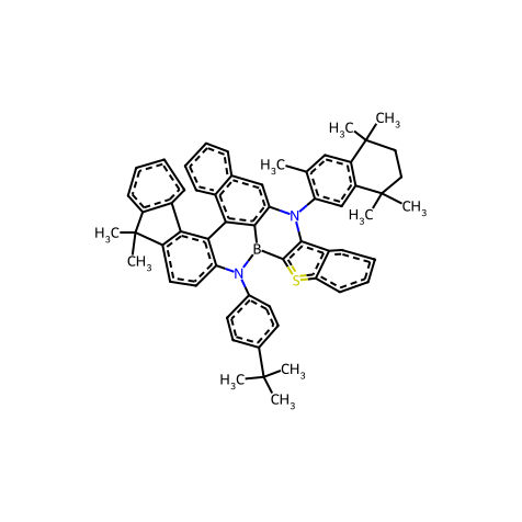 Cc1cc2c(cc1N1c3cc4ccccc4c4c3B(c3sc5ccccc5c31)N(c1ccc(C(C)(C)C)cc1)c1ccc3c(c1-4)-c1ccccc1C3(C)C)C(C)(C)CCC2(C)C